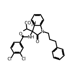 CC(C(=O)O)C1(NC(=O)c2ccc(Cl)c(Cl)c2)C(=O)N(CCCc2ccccc2)c2ccccc21